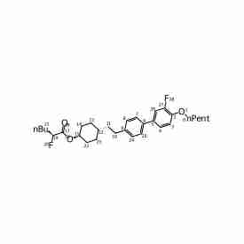 CCCCCOc1ccc(-c2ccc(CC[C@H]3CC[C@H](OC(=O)[C@@H](F)CCCC)CC3)cc2)cc1F